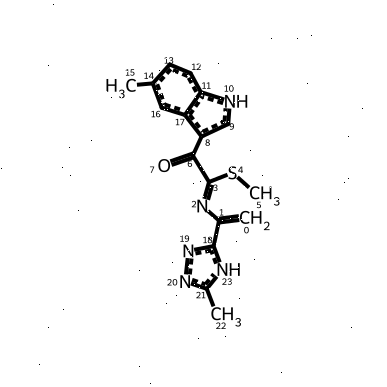 C=C(/N=C(\SC)C(=O)c1c[nH]c2ccc(C)cc12)c1nnc(C)[nH]1